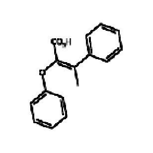 CC(=C(Oc1ccccc1)C(=O)O)c1ccccc1